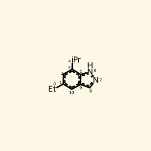 CCc1cc(C(C)C)c2[nH]ncc2c1